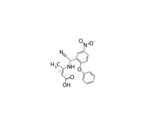 C/C(=C/C(=O)O)NC(C#N)c1cc([N+](=O)[O-])ccc1Oc1ccccc1